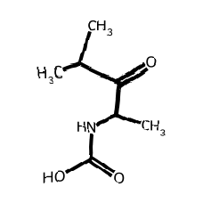 CC(C)C(=O)C(C)NC(=O)O